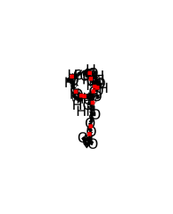 C=C1C[C@@H]2CC[C@@]34C[C@H]5OC6C(O[C@H]7CC[C@H](CC(=O)C[C@@H]8[C@@H](OC)[C@@H](C[C@H](O)CNC(=O)CCOCCOCCN9C(=O)C=CC9=O)O[C@H]8C[C@H]8O[C@@H](CC[C@@H]1O2)C[C@@H](C)C8=C)O[C@@H]7[C@@H]6O3)[C@H]5O4